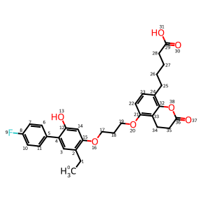 CCc1cc(-c2ccc(F)cc2)c(O)cc1OCCCOc1ccc(CCCCC(=O)O)c2c1CCC(=O)O2